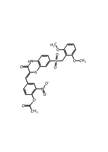 COc1cccc(OC)c1CS(=O)(=O)c1ccc2c(c1)SC(=Cc1ccc(OC(C)=O)c([N+](=O)[O-])c1)C(=O)N2